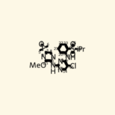 COc1nc(P(C)(C)=O)cnc1Nc1ncc(Cl)c(Nc2ccccc2S(=O)(=O)C(C)C)n1